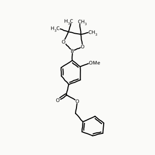 COc1cc(C(=O)OCc2ccccc2)ccc1B1OC(C)(C)C(C)(C)O1